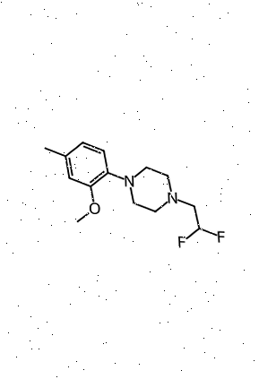 COc1cc(C)ccc1N1CCN(CC(F)F)CC1